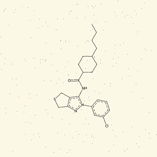 CCCCC1CCC(C(=O)Nc2c3c(nn2-c2cccc(Cl)c2)CSC3)CC1